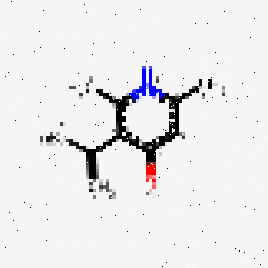 C=C(CCCC)c1c(C)[nH]c(C)cc1=O